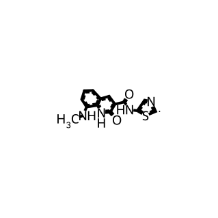 CNc1cccc2cc(C(=O)Nc3cn[c]s3)c(=O)[nH]c12